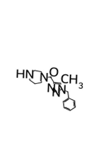 Cc1c(C(=O)N2CCCNCC2)nnn1Cc1ccccc1